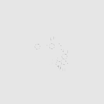 COc1cc(C2CN(c3cc4c(cc3F)ncc3c4c(=O)c(C(=O)O)cn3C)CCN2)ccc1OCc1ccccc1